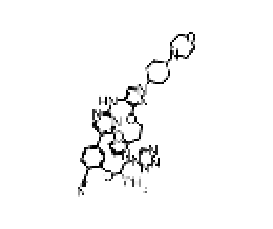 C[C@@H](Cn1cnnn1)Oc1cc(-c2cnc(Nc3cn(C4CCC(N5CCOCC5)CC4)nc3OCCc3ncco3)nc2)ccc1C#N